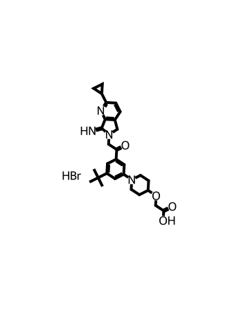 Br.CC(C)(C)c1cc(C(=O)CN2Cc3ccc(C4CC4)nc3C2=N)cc(N2CCC(OCC(=O)O)CC2)c1